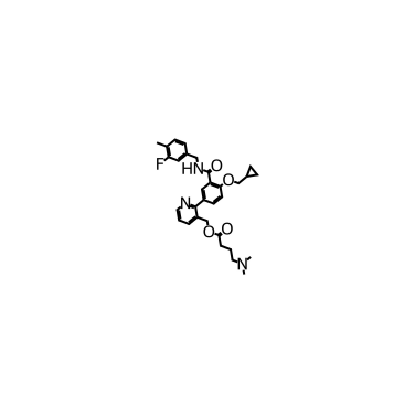 Cc1ccc(CNC(=O)c2cc(-c3ncccc3COC(=O)CCCN(C)C)ccc2OCC2CC2)cc1F